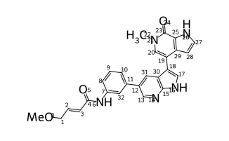 COC/C=C/C(=O)Nc1cccc(-c2cnc3[nH]cc(-c4cn(C)c(=O)c5[nH]ccc45)c3c2)c1